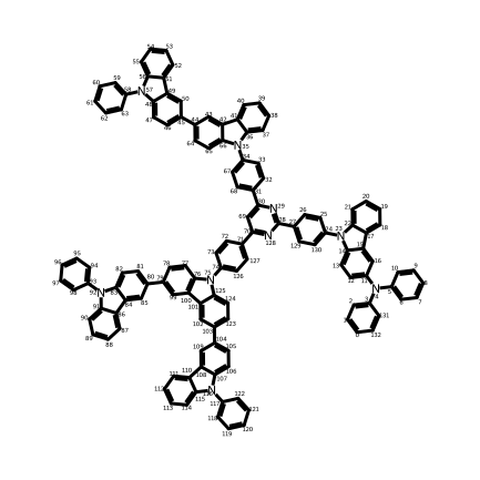 c1ccc(N(c2ccccc2)c2ccc3c(c2)c2ccccc2n3-c2ccc(-c3nc(-c4ccc(-n5c6ccccc6c6cc(-c7ccc8c(c7)c7ccccc7n8-c7ccccc7)ccc65)cc4)cc(-c4ccc(-n5c6ccc(-c7ccc8c(c7)c7ccccc7n8-c7ccccc7)cc6c6cc(-c7ccc8c(c7)c7ccccc7n8-c7ccccc7)ccc65)cc4)n3)cc2)cc1